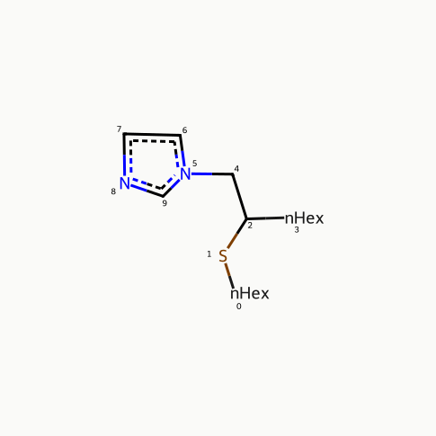 CCCCCCSC(CCCCCC)Cn1ccnc1